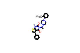 COc1ccccc1N1CCN(C(C)n2c(=O)c3c(-c4ccccc4)csc3n(C)c2=O)CC1